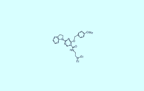 CCN(CC)CCNC(=O)c1cnc(N2CCc3ccccc32)nc1OCc1ccc(OC)cc1